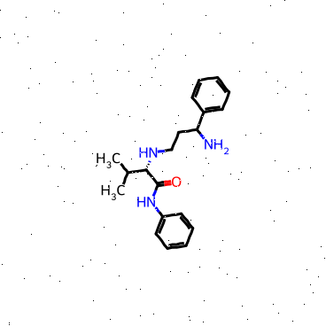 CC(C)[C@H](NCCC(N)c1ccccc1)C(=O)Nc1ccccc1